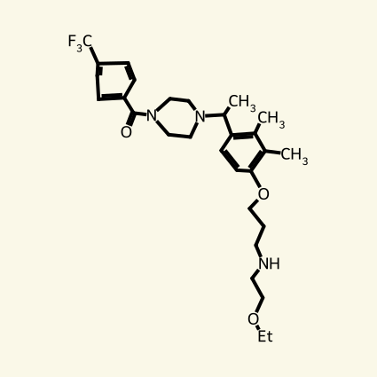 CCOCCNCCCOc1ccc(C(C)N2CCN(C(=O)c3ccc(C(F)(F)F)cc3)CC2)c(C)c1C